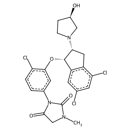 CN1CC(=O)N(c2ccc(Cl)c(O[C@H]3c4cc(Cl)cc(Cl)c4C[C@H]3N3CC[C@@H](O)C3)c2)C1=O